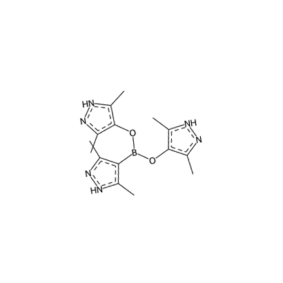 Cc1n[nH]c(C)c1OB(Oc1c(C)n[nH]c1C)c1c(C)n[nH]c1C